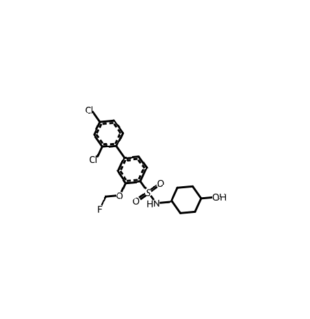 O=S(=O)(NC1CCC(O)CC1)c1ccc(-c2ccc(Cl)cc2Cl)cc1OCF